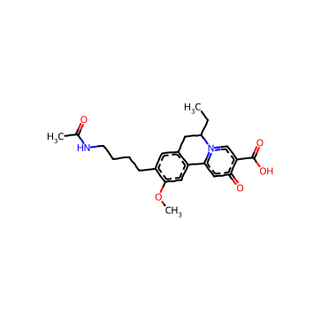 CCC1Cc2cc(CCCCNC(C)=O)c(OC)cc2-c2cc(=O)c(C(=O)O)cn21